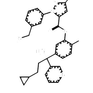 NCc1cccc(-n2nc(C(F)(F)F)cc2C(=O)Nc2cc([C@](N)(CCC3CC3)c3cccnc3)ccc2F)c1